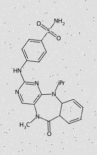 CC(C)N1c2nc(Nc3ccc(S(N)(=O)=O)cc3)ncc2N(C)C(=O)C2C=CC=CC21